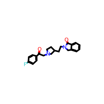 O=C(CN1CCC(CCN2Cc3ccccc3C2=O)C1)c1ccc(F)cc1